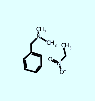 CC[N+](=O)[O-].CN(C)Cc1ccccc1